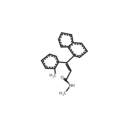 CNC(=O)/C=C(\c1ccccc1C)c1cccc2ccccc12